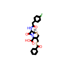 O=C(Cc1ccc(F)cc1)N[C@@H]1C(=O)N2C(C(=O)O)=C(CSC(=O)c3ccccc3)CS[C@H]12